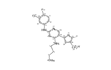 COCCCNc1nc(Nc2ccc(F)c(Cl)c2)ncc1-c1nc(C)c(C(=O)O)s1